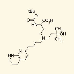 CC(C)(O)CCN(CCCCc1ccc2c(n1)NCCC2)CCC(NC(=O)OC(C)(C)C)C(=O)O